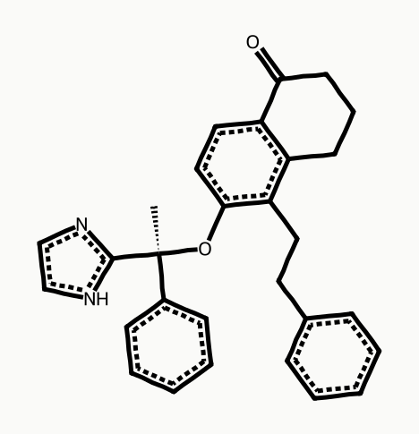 C[C@](Oc1ccc2c(c1CCc1ccccc1)CCCC2=O)(c1ccccc1)c1ncc[nH]1